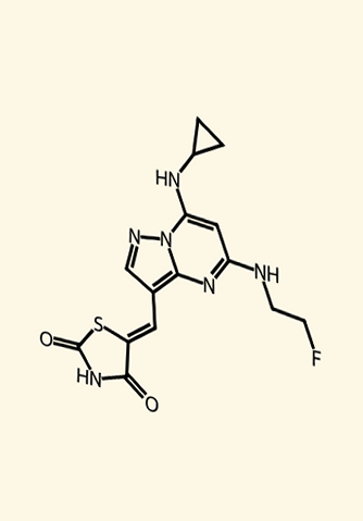 O=C1NC(=O)C(=Cc2cnn3c(NC4CC4)cc(NCCF)nc23)S1